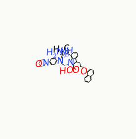 CC/C1=C(\NN)CN(c2ccc(N3CCOCC3)cc2)CCCn2c(C(=O)O)c(CCCOc3cccc4ccccc34)c3cccc1c32